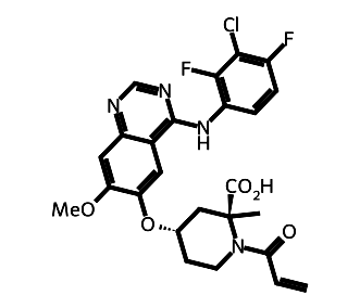 C=CC(=O)N1CC[C@H](Oc2cc3c(Nc4ccc(F)c(Cl)c4F)ncnc3cc2OC)C[C@@]1(C)C(=O)O